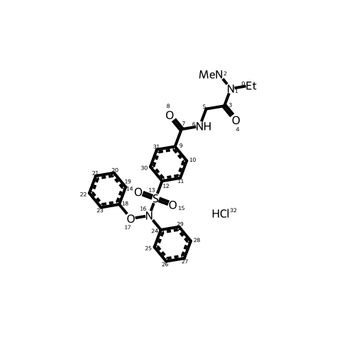 CCN(NC)C(=O)CNC(=O)c1ccc(S(=O)(=O)N(Oc2ccccc2)c2ccccc2)cc1.Cl